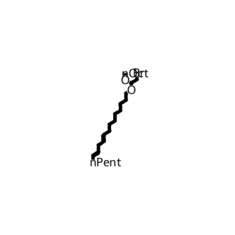 CCCCCC=CCC=CCCCCCCCCOC(CBr)OCCCCCCCC